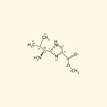 COC(=O)c1c[nH]c([C@@H](N)C(C)C)n1